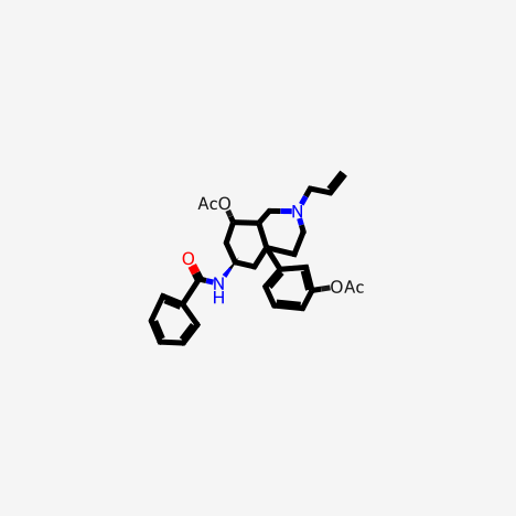 C=CCN1CCC2(c3cccc(OC(C)=O)c3)C[C@@H](NC(=O)c3ccccc3)CC(OC(C)=O)C2C1